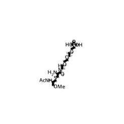 COC[C@H](CSC[C@H](N)C(=O)NCCOCCOCCOCCP(=O)(O)O)NC(C)=O